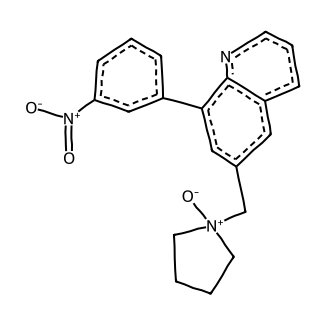 O=[N+]([O-])c1cccc(-c2cc(C[N+]3([O-])CCCC3)cc3cccnc23)c1